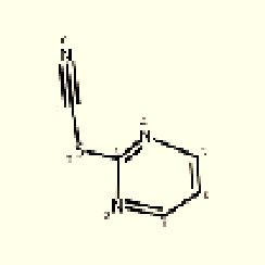 N#CSc1ncccn1